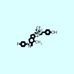 C[C@@H]1C2=C(CC[C@@H]2CN(CCc2ccc(O)cc2)S(=O)(=O)CC(F)(F)F)Cc2c1cnn2-c1ccc(F)cc1